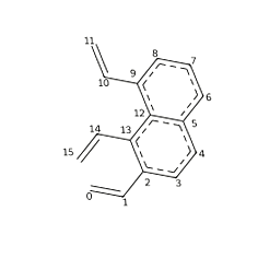 C=Cc1ccc2cccc(C=C)c2c1C=C